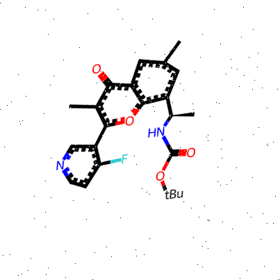 Cc1cc([C@@H](C)NC(=O)OC(C)(C)C)c2oc(-c3cnccc3F)c(C)c(=O)c2c1